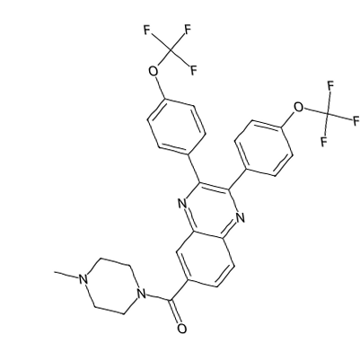 CN1CCN(C(=O)c2ccc3nc(-c4ccc(OC(F)(F)F)cc4)c(-c4ccc(OC(F)(F)F)cc4)nc3c2)CC1